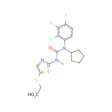 CN(C(=O)N(c1ccc(F)c(F)c1F)C1CCCC1)c1ncc(SCC(=O)O)s1